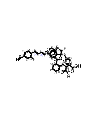 C[C@@H](S[C@H]1CO[C@H](/C=C/C=C/c2ccc(C#N)cc2F)OC1)[C@@](Cn1cncn1)(OC(=O)c1ccccc1CC(CC(=O)O)C(=O)O)c1ccc(F)cc1F